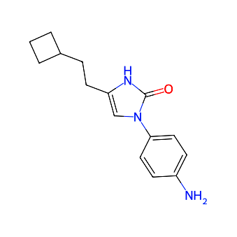 Nc1ccc(-n2cc(CCC3CCC3)[nH]c2=O)cc1